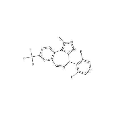 Cc1nnc2n1-c1ccc(C(F)(F)F)cc1C=NC2c1c(F)cccc1F